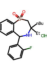 CCCCC1(CC)CS(=O)(=O)c2ccccc2C(c2ccccc2F)N1.Cl